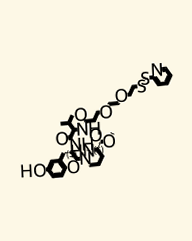 COC(=O)[C@@H]1CCCN(C(=O)[C@H](Cc2cccc(O)c2)NC(=O)C(NC(=O)CCOCCOCCSSc2ccccn2)C(C)C)N1